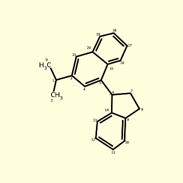 CC(C)c1cc([C]2CCc3ccccc32)c2ccccc2c1